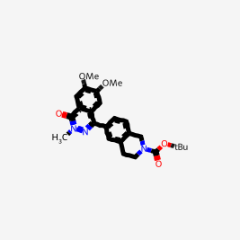 COc1cc2c(-c3ccc4c(c3)CCN(C(=O)OC(C)(C)C)C4)nn(C)c(=O)c2cc1OC